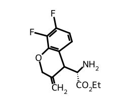 C=C1COc2c(ccc(F)c2F)C1[C@H](N)C(=O)OCC